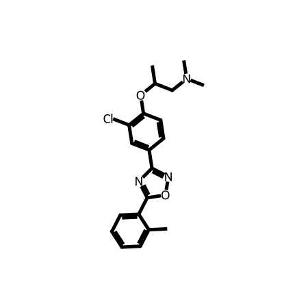 Cc1ccccc1-c1nc(-c2ccc(OC(C)CN(C)C)c(Cl)c2)no1